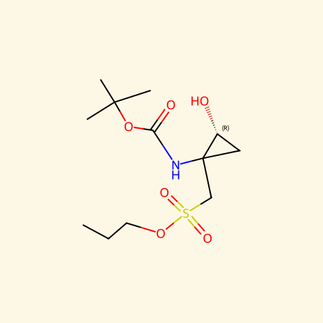 CCCOS(=O)(=O)CC1(NC(=O)OC(C)(C)C)C[C@H]1O